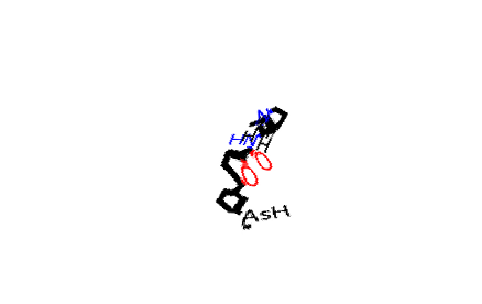 C[AsH]c1cccc(-c2ccc(C(=O)N[C@@H]3C4CCN(CC4)[C@H]3C)o2)c1